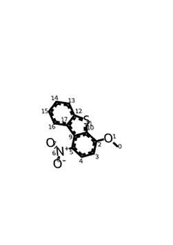 COc1ccc([N+](=O)[O-])c2c1sc1ccccc12